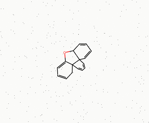 [CH]1C=CC=C2OC3C=CC=CC34C=CC=CC124